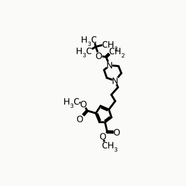 C=C(OC(C)(C)C)N1CCN(CCCc2cc(C(=O)OC)cc(C(=O)OC)c2)CC1